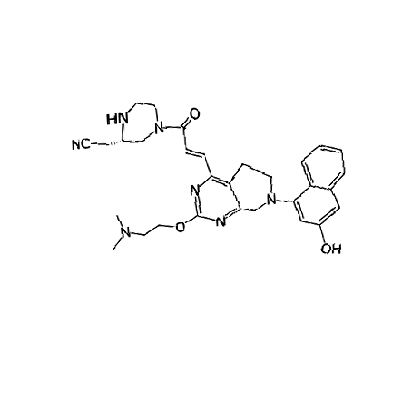 CN(C)CCOc1nc(C=CC(=O)N2CCN[C@@H](CC#N)C2)c2c(n1)CN(c1cc(O)cc3ccccc13)CC2